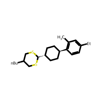 CCCCC1CSC([C@H]2CC[C@H](c3ccc(CC)cc3C)CC2)SC1